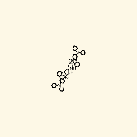 [O-][N+]1(C2CCC(C3CCC([N+]4([O-])c5ccccc5-c5cc(N(c6ccccc6)c6ccccc6)ccc54)CN3)NC2)c2ccccc2-c2cc(N(c3ccccc3)c3ccccc3)ccc21